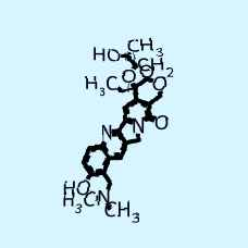 C=C(O[C@]1(CC)C(=O)OCc2c1cc1n(c2=O)Cc2cc3c(CN(C)C)c(O)ccc3nc2-1)[C@H](C)O